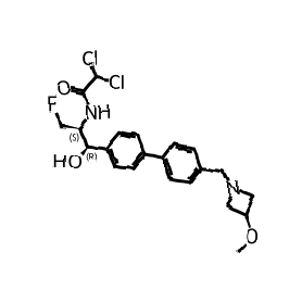 COC1CN(Cc2ccc(-c3ccc([C@@H](O)[C@@H](CF)NC(=O)C(Cl)Cl)cc3)cc2)C1